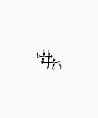 O=S(=O)(OF)C(F)(F)C(F)(F)S(=O)(=O)OF